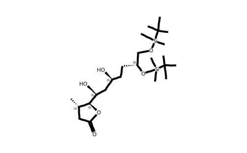 C[C@H]1CC(=O)O[C@@H]1[C@@H](O)C[C@@H](O)CC[C@H](CO[Si](C)(C)C(C)(C)C)O[Si](C)(C)C(C)(C)C